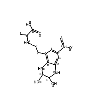 CC(NCCc1cc([N+](=O)[O-])cc2c1NC(O)C(O)N2)C(=O)O